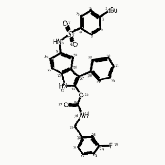 CC(C)(C)c1ccc(S(=O)(=O)Nc2ccc3[nH]c(OC(=O)NCc4cccc(F)c4)c(-c4ccccc4)c3c2)cc1